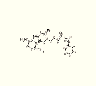 CCOCc1nc2c(N)ncc(C)c2n1CCCCNC(=O)[C@@H]1C[C@H]1c1ccccc1